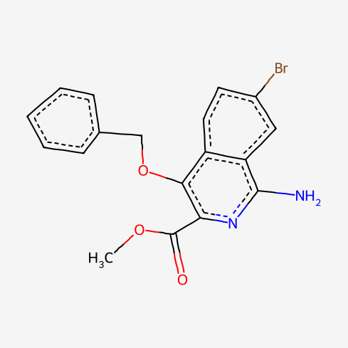 COC(=O)c1nc(N)c2cc(Br)ccc2c1OCc1ccccc1